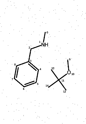 CNCc1ccccc1.COC(C)(C)C